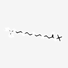 CC(C)(C)OC(=O)CCOCCOCCOCCON(O)O